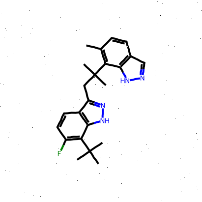 Cc1ccc2cn[nH]c2c1C(C)(C)Cc1n[nH]c2c(C(C)(C)C)c(F)ccc12